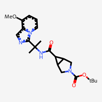 COc1cccn2c(C(C)(C)NC(=O)C3C4CN(C(=O)OC(C)(C)C)CC43)ncc12